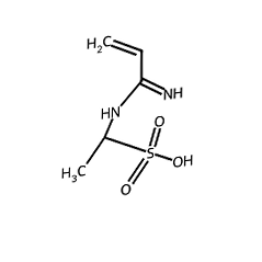 C=CC(=N)NC(C)S(=O)(=O)O